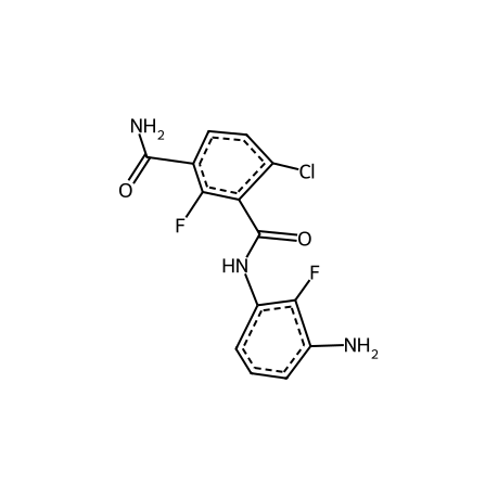 NC(=O)c1ccc(Cl)c(C(=O)Nc2cccc(N)c2F)c1F